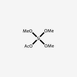 CO[Si](OC)(OC)OC(C)=O